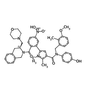 COc1cccc(CN(C(=O)c2cc(-c3cc([NH+]([O-])O)ccc3C(=O)N3Cc4ccccc4C[C@H]3CN3CCOCC3)n(C)c2C)c2ccc(O)cc2)c1C